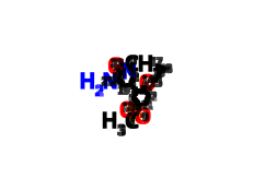 Cn1cc(-c2cc(S(C)(=O)=O)ccc2OCC2CC2)cc(N)c1=O